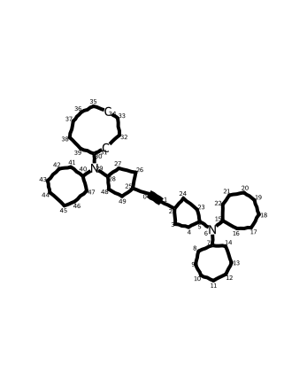 C(#CC1CCC(N(C2CCCCCCC2)C2CCCCCCC2)CC1)C1CCC(N(C2CCCCCCCCC2)C2CCCCCCC2)CC1